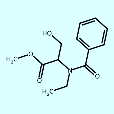 CCN(C(=O)c1ccccc1)C(CO)C(=O)OC